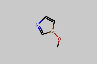 CO[SH]1C=CN=C1